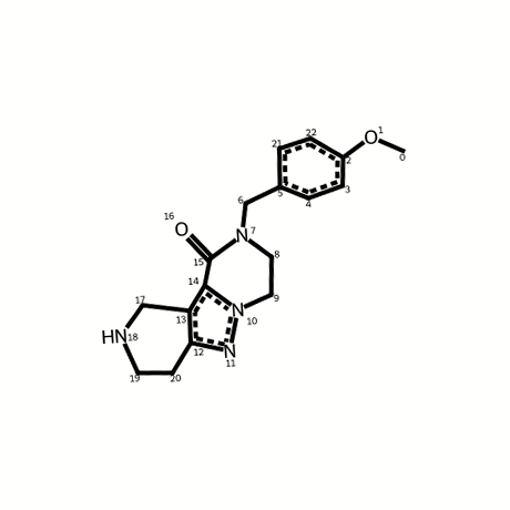 COc1ccc(CN2CCn3nc4c(c3C2=O)CNCC4)cc1